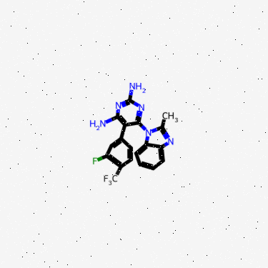 Cc1nc2ccccc2n1-c1nc(N)nc(N)c1-c1ccc(C(F)(F)F)c(F)c1